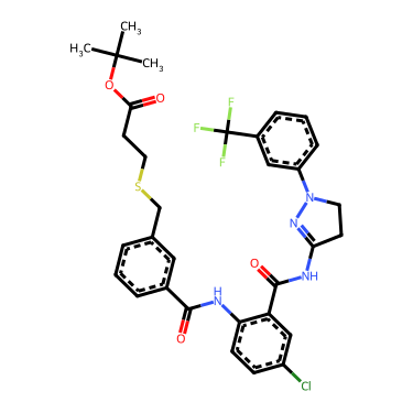 CC(C)(C)OC(=O)CCSCc1cccc(C(=O)Nc2ccc(Cl)cc2C(=O)NC2=NN(c3cccc(C(F)(F)F)c3)CC2)c1